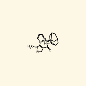 CC(=O)NC12CC3CC(C1)C(NC(=O)c1cnn(C)c1-n1cccn1)C(C3)C2